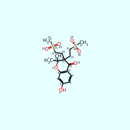 CC1(C)Oc2cc(O)ccc2C(=O)C1(CCS(C)(=O)=O)CCS(C)(=O)=O